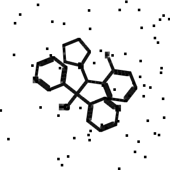 OC(c1cccnc1)(c1cccnc1)C(c1ccccc1F)N1CCCC1